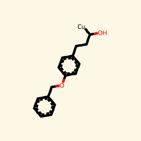 O[CH]([Cu])CCc1ccc(OCc2ccccc2)cc1